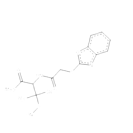 COC(=O)C(NC(=O)CSc1nc2ccccc2o1)C(C)(C)SN=O